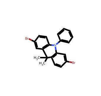 CC1(C)c2ccc(Br)cc2N(c2ccccc2)c2ccc(Br)cc21